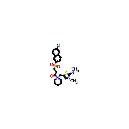 C/N=c1\sc(C[N+]2(C(=O)CCS(=O)(=O)c3ccc4cc(Cl)ccc4c3)CCCCC2)cn1C